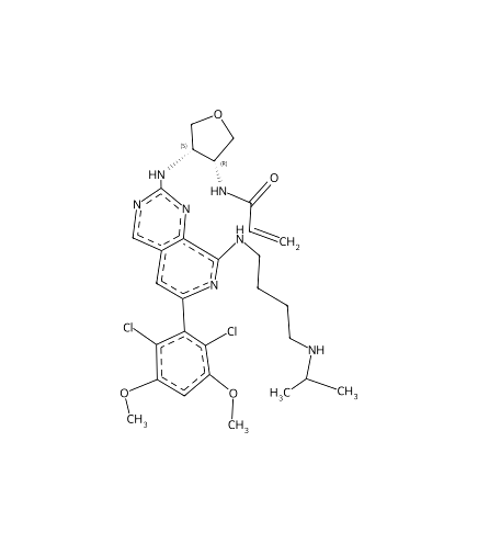 C=CC(=O)N[C@H]1COC[C@H]1Nc1ncc2cc(-c3c(Cl)c(OC)cc(OC)c3Cl)nc(NCCCCNC(C)C)c2n1